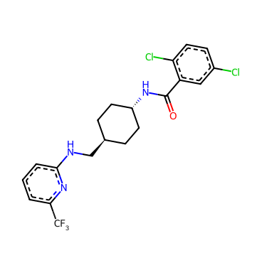 O=C(N[C@H]1CC[C@H](CNc2cccc(C(F)(F)F)n2)CC1)c1cc(Cl)ccc1Cl